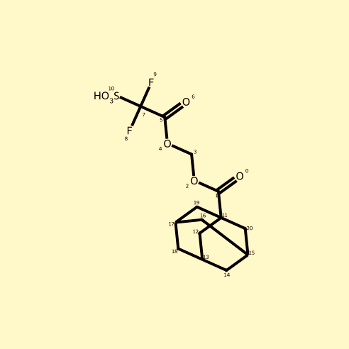 O=C(OCOC(=O)C(F)(F)S(=O)(=O)O)C12CC3CC(CC(C3)C1)C2